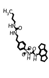 CCCCNC(=O)NCCc1ccc(S(=O)(=O)NC(=O)Nc2c3c(cc4c2CCC4)CCC3)cc1